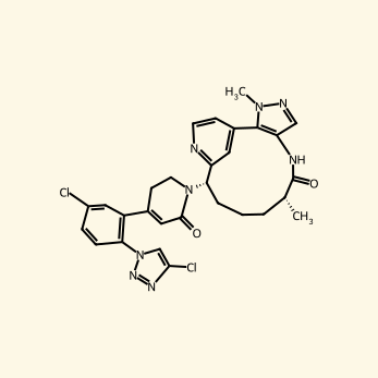 C[C@@H]1CCC[C@H](N2CCC(c3cc(Cl)ccc3-n3cc(Cl)nn3)=CC2=O)c2cc(ccn2)-c2c(cnn2C)NC1=O